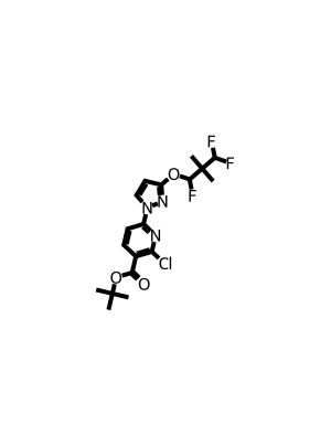 CC(C)(C)OC(=O)c1ccc(-n2ccc(OC(F)C(C)(C)C(F)F)n2)nc1Cl